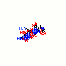 CCC1CN2CCc3cc(OC)c(OC)cc3C2CC1C1Cc2cc(OC)c(OC)cc2CCN1C(=O)N(C)CCNC(=O)C(CCC(N)=O)NC(=O)[C@H](CC(C)C)NC(=O)[C@H](CCCCN)NC(=O)[C@H](CO)NC(=O)[C@H](CO)NC(=O)[C@H](Cc1c[nH]cn1)NC(=O)N1CCOCC1